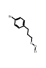 CCOOCCCc1ccc(Br)cc1